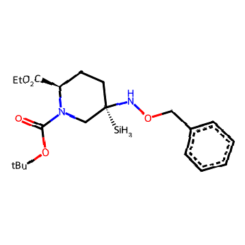 CCOC(=O)[C@H]1CC[C@@]([SiH3])(NOCc2ccccc2)CN1C(=O)OC(C)(C)C